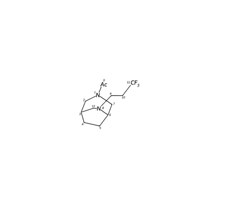 CC(=O)N1CC2CCC(C1)N(CCC(F)(F)F)C2